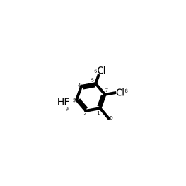 Cc1cccc(Cl)c1Cl.F